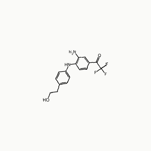 Nc1cc(C(=O)C(F)(F)F)ccc1Nc1ccc(CCO)cc1